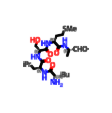 CC[C@H](C)[C@H](N)C(=O)N[C@@H](CC(C)C)C(=O)N[C@@H](CO)C(=O)N[C@@H](CCSC)C(=O)N[C@@H](C)[C]=O